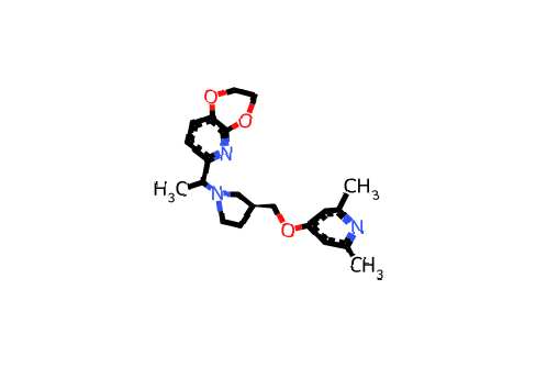 Cc1cc(OC[C@H]2CCN(C(C)c3ccc4c(n3)OCCO4)C2)cc(C)n1